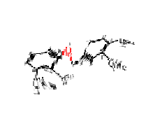 COc1cc(COc2cccc(OC)c2C(C)(C)C)ccc1C(C)(C)C